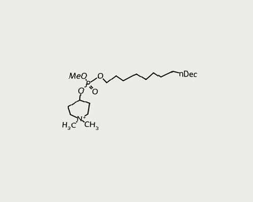 CCCCCCCCCCCCCCCCCCOP(=O)(OC)OC1CC[N+](C)(C)CC1